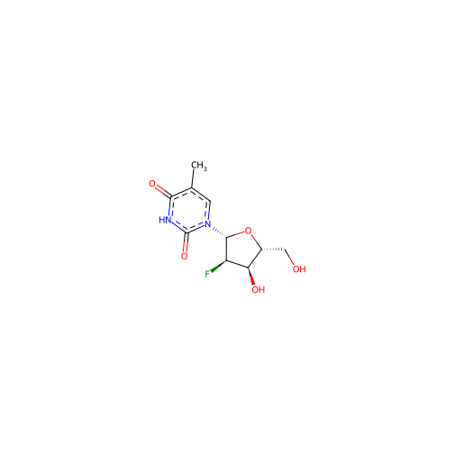 Cc1cn([C@@H]2O[C@H](CO)[C@@H](O)[C@H]2F)c(=O)[nH]c1=O